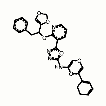 C1=CCCC(C2=COC=C(Nc3nnc(-c4cccnc4OC(Cc4ccccc4)C4=COCO4)o3)O2)=C1